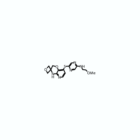 COCCNc1cnc(Sc2ccnc3c2OCC2(COC2)N3)cn1